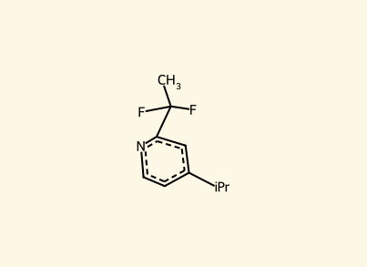 CC(C)c1ccnc(C(C)(F)F)c1